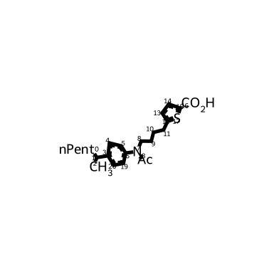 CCCCCC(C)c1ccc(N(CCCCc2ccc(C(=O)O)s2)C(C)=O)cc1